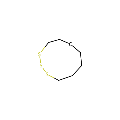 C1CCCSSSCCC1